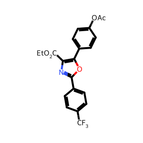 CCOC(=O)c1nc(-c2ccc(C(F)(F)F)cc2)oc1-c1ccc(OC(C)=O)cc1